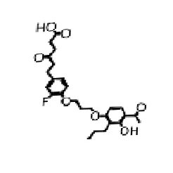 CCCc1c(OCCCOc2ccc(CCC(=O)CCC(=O)O)cc2F)ccc(C(C)=O)c1O